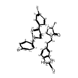 C[C@@H]1O[C@@H](c2cn(-c3ccc(Br)cc3)nc2-c2ccc(F)cc2)N(CCc2ccc3[nH]c(=O)[nH]c3c2)C1=O